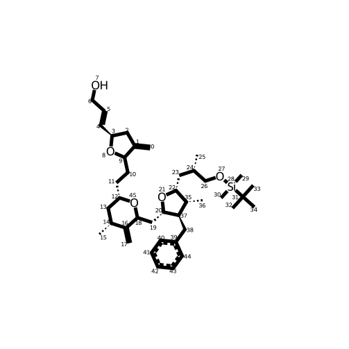 C=C1C[C@H](/C=C/CO)OC1CC[C@H]1C[C@@H](C)C(=C)C(C[C@@H]2O[C@H](C[C@H](C)CO[Si](C)(C)C(C)(C)C)[C@H](C)[C@H]2Cc2ccccc2)O1